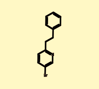 Brc1ccc(CCc2ccccc2)nc1